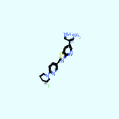 N=C/C(=C\N)c1cnc2nc(-c3ccc(N4CCC[C@@H](F)C4)nc3)sc2c1